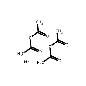 CC(=O)[CH-]C(C)=O.CC(=O)[CH-]C(C)=O.[Ni+2]